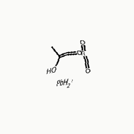 CC(=O)O.[O]=[Ti]=[O].[PbH2]